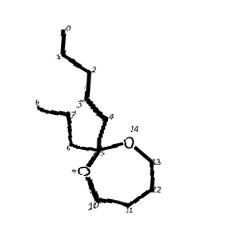 CCCCCC1(CCC)OCCCCO1